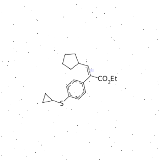 CCOC(=O)/C(=C/C1CCCC1)c1ccc(SC2CC2)cc1